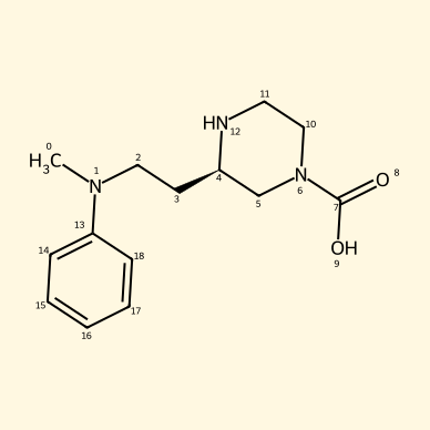 CN(CC[C@@H]1CN(C(=O)O)CCN1)c1ccccc1